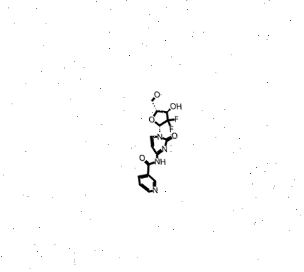 [O]C[C@H]1O[C@@H](n2ccc(NC(=O)c3cccnc3)nc2=O)C(F)(F)[C@@H]1O